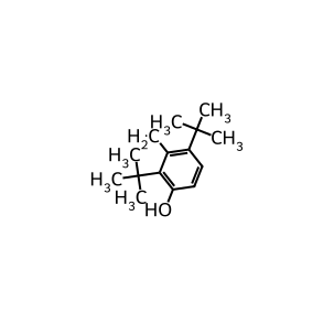 [CH2]c1c(C(C)(C)C)ccc(O)c1C(C)(C)C